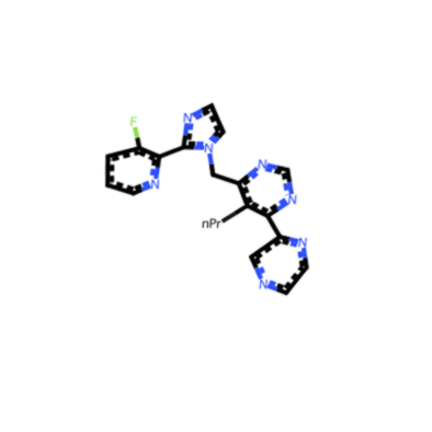 CCCc1c(Cn2ccnc2-c2ncccc2F)ncnc1-c1cnccn1